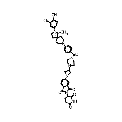 C[C@H]1N(c2ccc(C#N)c(Cl)c2)CCC12CCN(c1ccc(C(=O)N3CCN(C4CN(c5ccc6c(c5)C(=O)N(C5CCC(=O)NC5=O)C6=O)C4)CC3)cc1)CC2